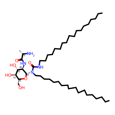 CCCCCCCCCCCCCCCCCCNC(=O)N(CCCCCCCCCCCCCCCCCC)[C@@H]1O[C@H](CO)[C@@H](O)[C@H](O)[C@H]1NC(=O)[C@H](C)N